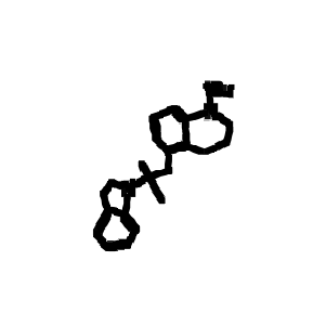 CC(C)(C)N1CCCc2c(CC(C)(C)N3CCc4ccccc43)cccc21